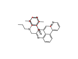 CC/C=C1\c2c(cccc2-c2cccnc2)N=C(CN(CCC)C2=C(C#N)C(C)=NCN2C)N1c1ccccc1